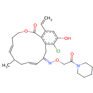 C=Cc1cc(O)c(Cl)c2c1C(=O)OCC/C=C/C(C)C/C=C/C(=N/OCC(=O)N1CCCCC1)C2